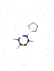 O=C(O)c1cc(I)c(Cl)nc1N1CCCC1